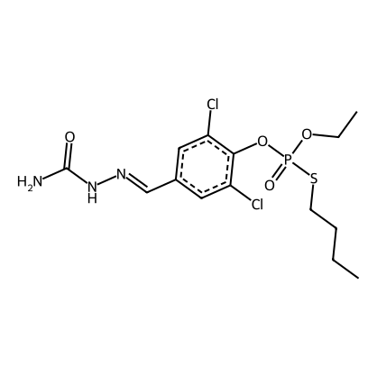 CCCCSP(=O)(OCC)Oc1c(Cl)cc(C=NNC(N)=O)cc1Cl